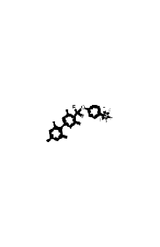 Cc1cc(C)c(-c2cc(C)c(C(F)(F)Oc3ccc(S(F)(F)(F)(F)F)cc3)c(C)c2)c(C)c1